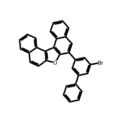 Brc1cc(-c2ccccc2)cc(-c2cc3ccccc3c3c2oc2ccc4ccccc4c23)c1